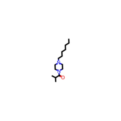 CCCCCCCN1CCN(C(=O)C(C)C)CC1